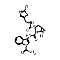 NC(=O)n1cc(NC(=O)N2[C@@H]3CC3C[C@H]2C(=O)NCc2cnc(Cl)s2)c2ccccc21